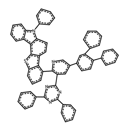 c1ccc(-c2nc(-c3ccccc3)nc(-c3cc(-c4ccc(-c5ccccc5)c(-c5ccccc5)c4)cnc3-c3cccc4sc5c(ccc6c5c5ccccc5n6-c5ccccc5)c34)n2)cc1